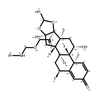 CCCC1O[C@@H]2C[C@H]3[C@@H]4C[C@H](F)C5=CC(=O)C=C[C@]5(C)[C@@]4(F)[C@@H](O)C[C@]3(C)[C@]2(C(=O)COCNC(C)C)O1